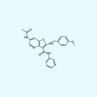 COc1ccc(CNc2sc3cc(NC(C)=O)cnc3c2C(=O)Nc2cccnc2)cc1